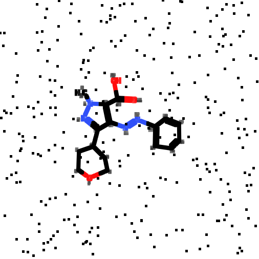 Cn1nc(C2CCOCC2)c(/N=N/c2ccccc2)c1C(=O)O